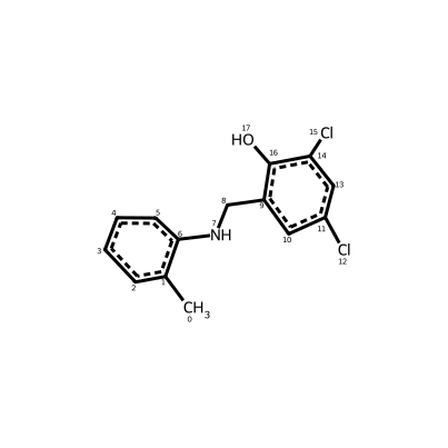 Cc1ccccc1NCc1cc(Cl)cc(Cl)c1O